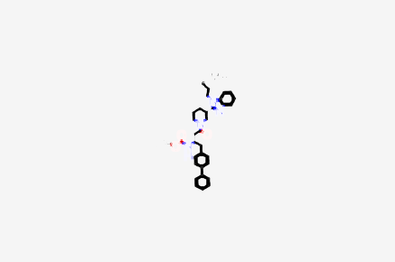 COCCCn1c([C@@H]2CCCN(C(=O)C[C@@H](Cc3ccc(-c4ccccc4)cc3)NC(=O)OC(C)(C)C)C2)nc2ccccc21